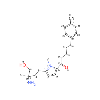 Cn1c(CC[C@@](C)(N)CO)ccc1C(=O)CCCCc1ccc(C#N)cc1